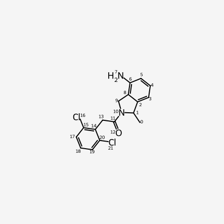 CC1c2cccc(N)c2CN1C(=O)Cc1c(Cl)cccc1Cl